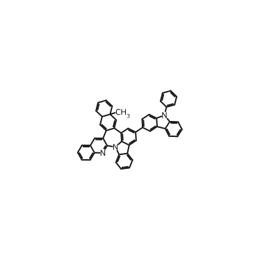 CC12C=CC=CC1C=C1C(=C2)c2cc(-c3ccc4c(c3)c3ccccc3n4-c3ccccc3)cc3c4ccccc4n(c23)-c2nc3ccccc3cc21